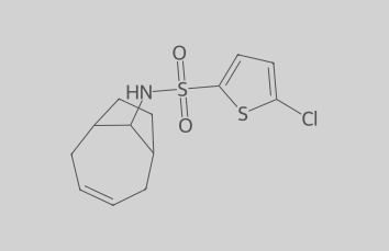 O=S(=O)(NC1C2CC=CCC1CC2)c1ccc(Cl)s1